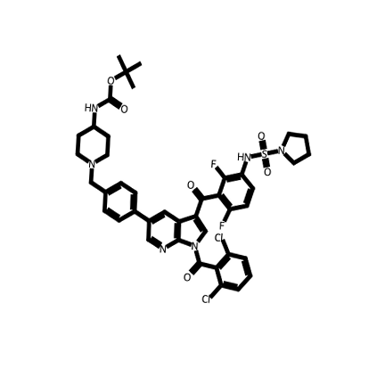 CC(C)(C)OC(=O)NC1CCN(Cc2ccc(-c3cnc4c(c3)c(C(=O)c3c(F)ccc(NS(=O)(=O)N5CCCC5)c3F)cn4C(=O)c3c(Cl)cccc3Cl)cc2)CC1